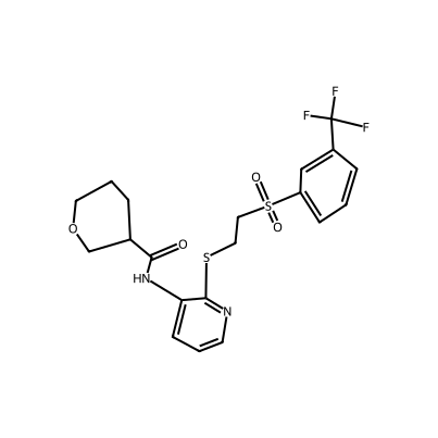 O=C(Nc1cccnc1SCCS(=O)(=O)c1cccc(C(F)(F)F)c1)C1CCCOC1